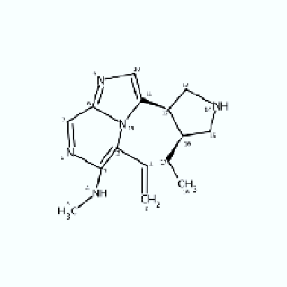 C=Cc1c(NC)ncc2ncc([C@H]3CNC[C@H]3CC)n12